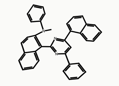 CN(c1ccccc1)c1ccc2ccccc2c1-c1nc(-c2ccccc2)cc(-c2cccc3ccccc23)n1